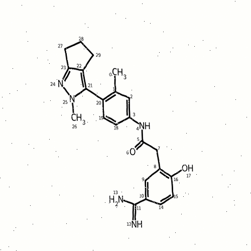 Cc1cc(NC(=O)Cc2cc(C(=N)N)ccc2O)ccc1-c1c2c(nn1C)CCC2